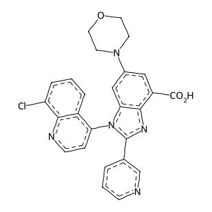 O=C(O)c1cc(N2CCOCC2)cc2c1nc(-c1cccnc1)n2-c1ccnc2c(Cl)cccc12